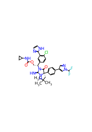 CC(C)(C)C[C@]1(c2ccc(-c3cnn(C(F)F)c3)cc2)NC(=N)N([C@H](COC(=O)NC2CC2)c2ccc(Cl)c(-c3ncc[nH]3)c2)C1=O